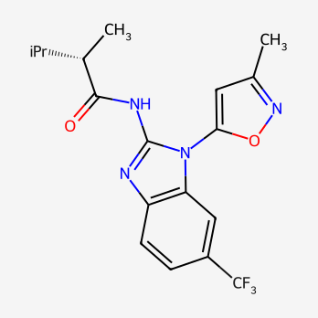 Cc1cc(-n2c(NC(=O)[C@@H](C)C(C)C)nc3ccc(C(F)(F)F)cc32)on1